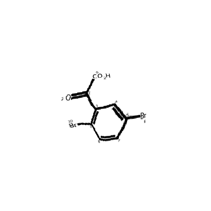 O=C(O)C(=O)c1cc(Br)ccc1Br